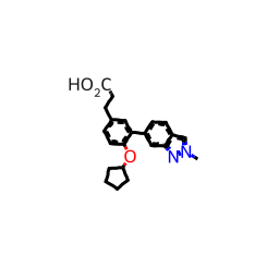 Cn1cc2ccc(-c3cc(CCC(=O)O)ccc3OC3CCCC3)cc2n1